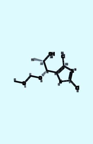 COCO[C@@H](c1sc(Cl)nc1Cl)[C@H](C)O